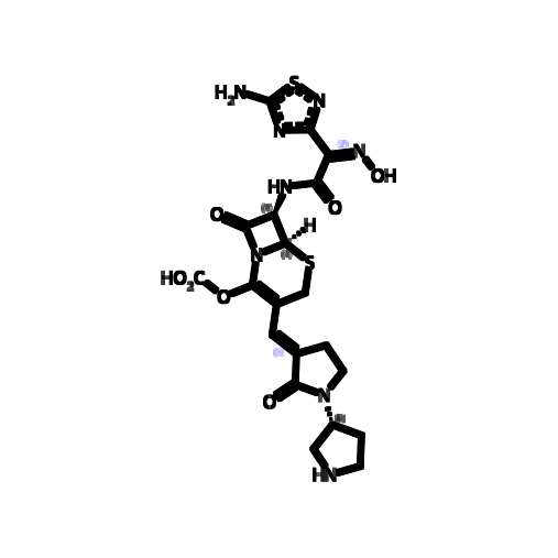 Nc1nc(/C(=N/O)C(=O)N[C@@H]2C(=O)N3C(OC(=O)O)=C(/C=C4\CCN([C@@H]5CCNC5)C4=O)CS[C@H]23)ns1